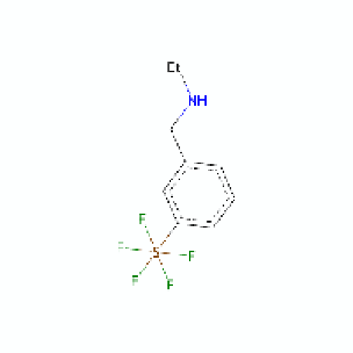 CCNCc1cccc(S(F)(F)(F)(F)F)c1